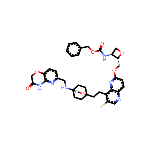 O=C1COc2ccc(CNC34CCC(CCc5c(F)cnc6ccc(OC[C@H]7OC[C@@H]7NC(=O)OCc7ccccc7)nc56)(CC3)OC4)nc2N1